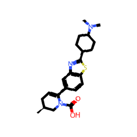 C[C@H]1CC=C(c2ccc3sc(C4CCC(N(C)C)CC4)nc3c2)N(C(=O)O)C1